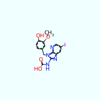 COc1cc(Cn2c(NC(=O)O)nc3cc(I)cnc32)ccc1O